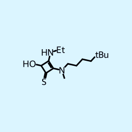 CCNC1=C(N(C)CCCCC(C)(C)C)C(=S)C1O